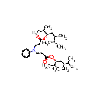 CC(C)C(C)CC(OC(=O)CCN(CCC(=O)OC(CC(C)C(C)C)C(C)C)c1ccccc1)C(C)C